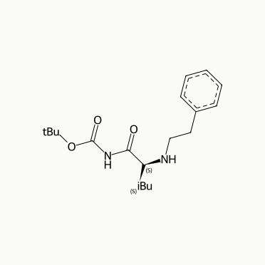 CC[C@H](C)[C@H](NCCc1ccccc1)C(=O)NC(=O)OC(C)(C)C